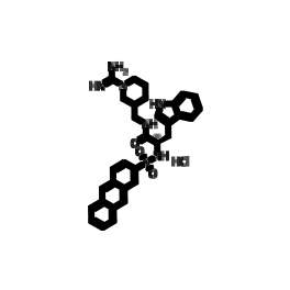 Cl.N=C(N)N1CCCC(CNC(=O)[C@@H](Cc2c[nH]c3ccccc23)NS(=O)(=O)c2ccc3cc4ccccc4cc3c2)C1